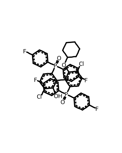 O=P(c1ccc(F)cc1)(c1ccc(F)cc1)c1ccc(Cl)c(O)c1-c1c(P(=O)(c2ccc(F)cc2)c2ccc(F)cc2)ccc(Cl)c1OC1CCCCC1